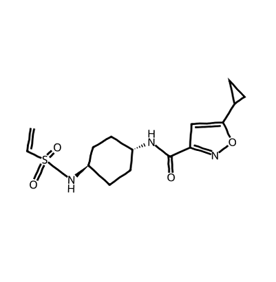 C=CS(=O)(=O)N[C@H]1CC[C@H](NC(=O)c2cc(C3CC3)on2)CC1